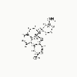 N[C@H]1CCCN([C@H]2CCc3ccccc3[C@@H]2Oc2ccc(Cl)nc2)C1